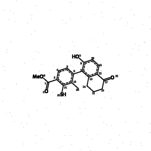 COC(=O)c1ccc(-c2c(O)ccc3c2CCCC3=O)c(C)c1S